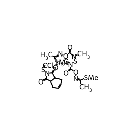 CS/C(C)=N\OC(=O)N(C)SN(C)C(=O)O/N=C(/C)SC.O=C1C2CC=CCC2C(=O)N1SC(Cl)(Cl)Cl